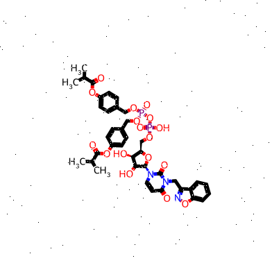 CC(C)C(=O)Oc1ccc(COP(=O)(OCc2ccc(OC(=O)C(C)C)cc2)OP(=O)(O)OC[C@H]2O[C@@H](n3ccc(=O)n(Cc4noc5ccccc45)c3=O)C(O)[C@H]2O)cc1